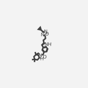 CC1(C)C[C@@H]2CC(C)(CN2C(=O)c2ccc3[nH]c(CCc4nc(C5CC5)no4)cc3c2)C1